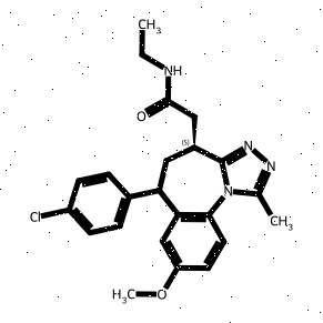 CCNC(=O)C[C@@H]1CC(c2ccc(Cl)cc2)c2cc(OC)ccc2-n2c(C)nnc21